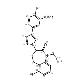 COc1cc(-c2cn(C3CCc4c(F)cccc4N(CC(F)(F)F)C3=O)nn2)ccc1I